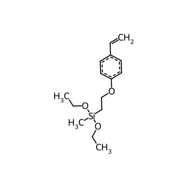 C=Cc1ccc(OCC[Si](C)(OCC)OCC)cc1